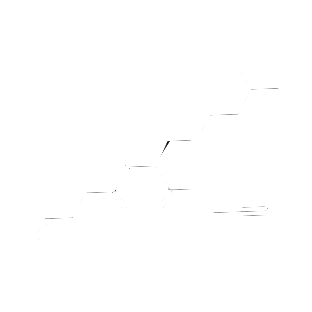 C=CCCC(=O)N[C@@H](COCCC(C)C)C(=O)OCC#N